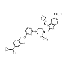 C[C@H]1CN(c2cccc(OCc3ccc(C(=O)C4CC4)cc3F)n2)CCN1Cc1nc2ccc(C(=O)O)cc2n1C[C@@H]1CCO1